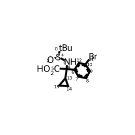 CC(C)(C)[S+]([O-])NC(C(=O)O)(c1cccc(Br)c1)C1CC1